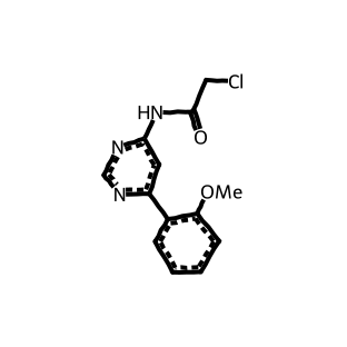 COc1ccccc1-c1cc(NC(=O)CCl)ncn1